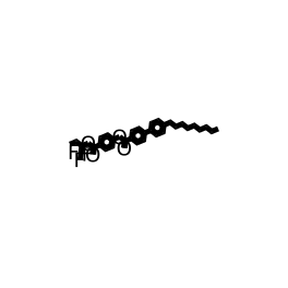 CCCCCCCCCc1ccc(-c2ccc(C(=O)Oc3ccc(C(=O)OC(CC)C(F)(F)F)cc3)cc2)cc1